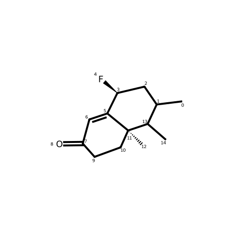 CC1C[C@H](F)C2=CC(=O)CC[C@]2(C)C1C